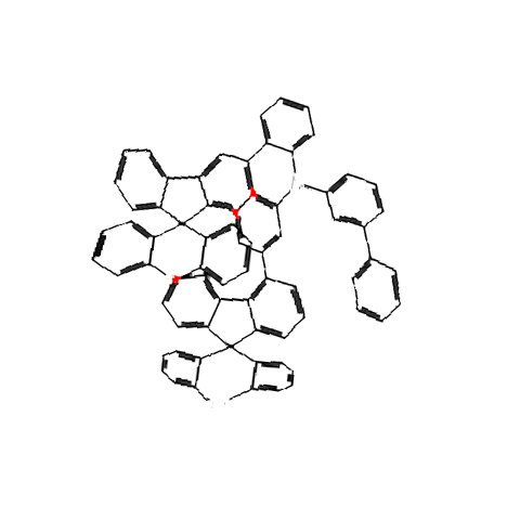 c1ccc(-c2cccc(N(c3cccc(-c4cccc5c4-c4ccccc4C54c5ccccc5Oc5ccccc54)c3)c3ccccc3-c3ccc4c(c3)-c3ccccc3C43c4ccccc4Oc4ccccc43)c2)cc1